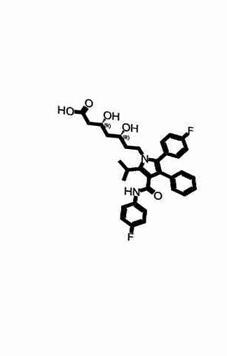 CC(C)c1c(C(=O)Nc2ccc(F)cc2)c(-c2ccccc2)c(-c2ccc(F)cc2)n1CC[C@@H](O)C[C@@H](O)CC(=O)O